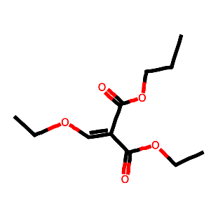 CCCOC(=O)/C(=C\OCC)C(=O)OCC